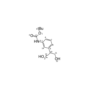 CC(C)(C)OC(=O)Nc1cccc(C(CO)C(=O)O)c1